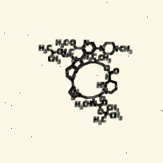 CO[C@@H](C)c1ncc(N2CCN(C)CC2)cc1-c1c2c3cc(ccc3n1CCOC(C)C)-c1csc(n1)[C@@H](C)[C@H](NC(=O)OC(C)(C)C)C(=O)N1CCC[C@H](N1)C(=O)OCC(C)(C)C2